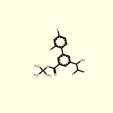 CC(C)(C)OC(=O)c1cc(-c2ccc(F)cc2F)cc(C(O)C(F)F)c1